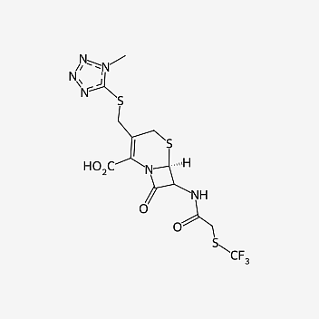 Cn1nnnc1SCC1=C(C(=O)O)N2C(=O)C(NC(=O)CSC(F)(F)F)[C@@H]2SC1